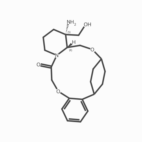 N[C@@]1(CO)CCCN2C(=O)COc3ccccc3C3CCC(CC3)OC[C@H]21